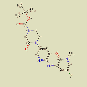 Cn1cc(Br)cc(Nc2ccc(N3CCN(C(=O)OC(C)(C)C)CC3=O)cn2)c1=O